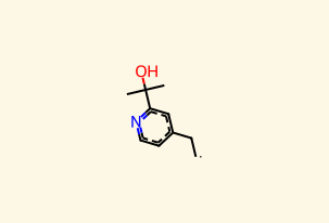 [CH2]Cc1ccnc(C(C)(C)O)c1